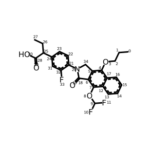 CCCOc1c2c(c(OC(F)F)c3ccccc13)C(=O)N(c1ccc(C(CC)C(=O)O)cc1F)C2